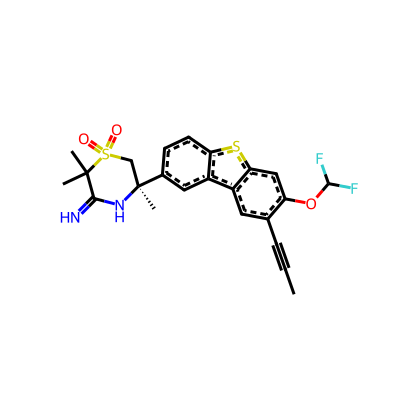 CC#Cc1cc2c(cc1OC(F)F)sc1ccc([C@]3(C)CS(=O)(=O)C(C)(C)C(=N)N3)cc12